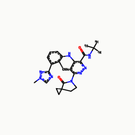 [2H]C([2H])([2H])NC(=O)c1nnc(N2CCC3(CC3)C2=O)cc1Nc1cccc(-c2ncn(C)n2)c1OC